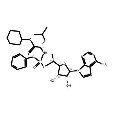 CC(C)C[C@H](NP(=O)(Oc1ccccc1)O[C@@H](C)[C@H]1O[C@@H](n2cnc3c(N)ncnc32)[C@H](O)[C@@H]1O)C(=O)OC1CCCCC1